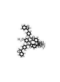 Cc1cc2c3c(c1)N(c1ccc(-c4coc5ccccc45)cc1)c1oc4ccc(C(C)(C)C)cc4c1B3c1c(oc3ccc(C(C)(C)C)cc13)N2c1ccc(-c2coc3ccccc23)cc1